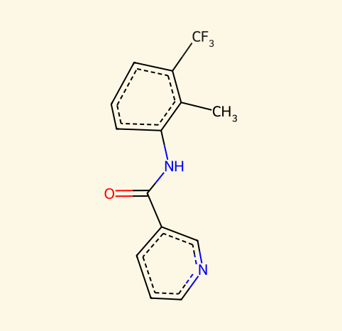 Cc1c(NC(=O)c2cccnc2)cccc1C(F)(F)F